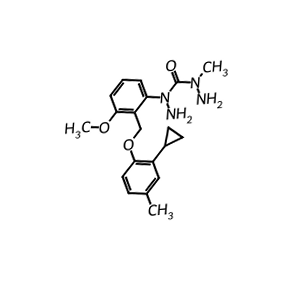 COc1cccc(N(N)C(=O)N(C)N)c1COc1ccc(C)cc1C1CC1